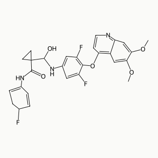 COc1cc2nccc(Oc3c(F)cc(NC(O)C4(C(=O)NC5=CCC(F)C=C5)CC4)cc3F)c2cc1OC